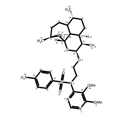 COc1ncnc(N(CCO[C@H]2O[C@@H]3O[C@@]4(C)CCC5[C@H](C)CC[C@@H]([C@H]2C)[C@]53OO4)S(=O)(=O)c2ccc(N)cc2)c1OC